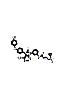 CN(C(=O)/C=C/C[N+](C)([O-])C1CC1)c1cccc(-n2c(=O)n(-c3ccc(Oc4ccc(O)cc4)cc3)c3c(N)ncnc32)c1